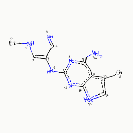 CCN/C=C(\C=N)Nc1nc(N)c2c(C#N)c[nH]c2n1